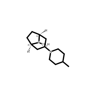 CC1CCN(C2C[C@H]3CC[C@@H](C2)N3C(=O)O)CC1